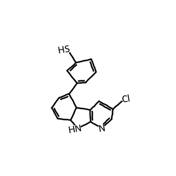 Sc1cccc(C2=CC=CC3Nc4ncc(Cl)cc4C23)c1